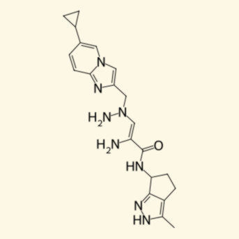 Cc1[nH]nc2c1CCC2NC(=O)/C(N)=C/N(N)Cc1cn2cc(C3CC3)ccc2n1